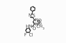 CN1C(C(=O)Nc2ccc(F)c(Cl)c2)=CC(c2cnc(-c3ccccc3)s2)=NS1(=O)=O